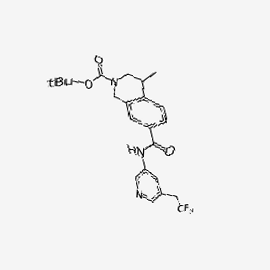 CC1CN(C(=O)OC(C)(C)C)Cc2cc(C(=O)Nc3cncc(CC(F)(F)F)c3)ccc21